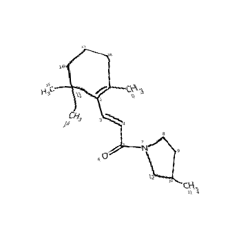 CC1=C(/C=C/C(=O)N2CCC(C)C2)C(C)(C)CCC1